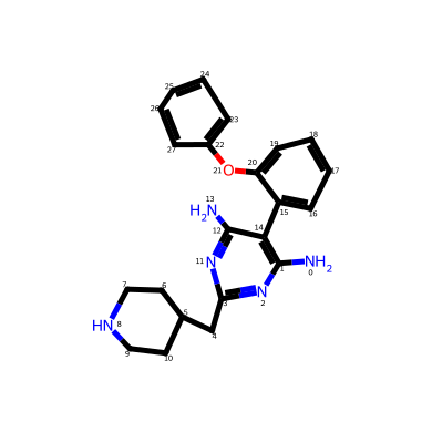 Nc1nc(CC2CCNCC2)nc(N)c1-c1ccccc1Oc1ccccc1